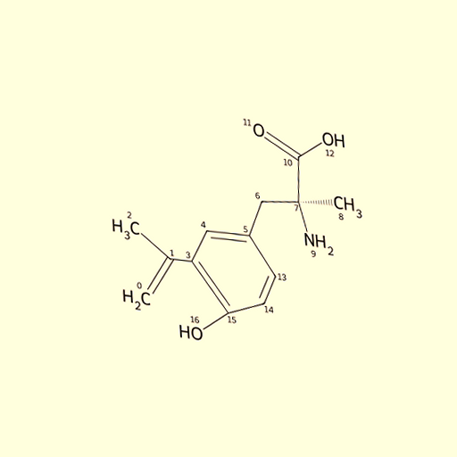 C=C(C)c1cc(C[C@](C)(N)C(=O)O)ccc1O